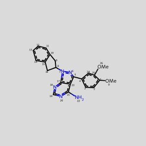 COc1ccc(-c2nn(C3Cc4ccccc4C3)c3ncnc(N)c23)cc1OC